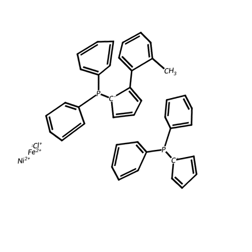 Cc1ccccc1-c1ccc[c-]1P(c1ccccc1)c1ccccc1.[Cl+].[Fe+2].[Ni+2].c1ccc(P(c2ccccc2)[c-]2cccc2)cc1